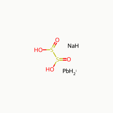 O=S(O)S(=O)O.[NaH].[PbH2]